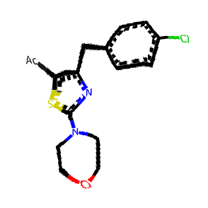 CC(=O)c1sc(N2CCOCC2)nc1Cc1ccc(Cl)cc1